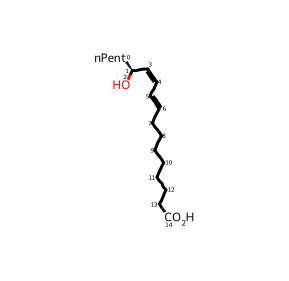 CCCCC[C@H](O)/C=C\C=C\CCCCCCCC(=O)O